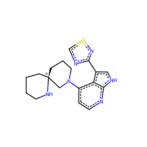 c1cc(N2CCC[C@@]3(CCCCN3)C2)c2c(-c3ncsn3)c[nH]c2n1